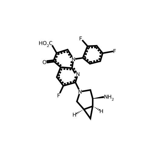 N[C@@H]1CN(c2nc3c(cc2F)c(=O)c(C(=O)O)cn3-c2ccc(F)cc2F)C[C@@H]2C[C@@H]21